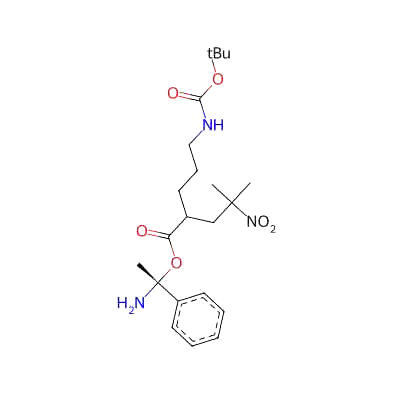 CC(C)(C)OC(=O)NCCCC(CC(C)(C)[N+](=O)[O-])C(=O)O[C@@](C)(N)c1ccccc1